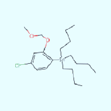 CCC[CH2][Sn]([CH2]CCC)([CH2]CCC)[c]1ccc(Cl)cc1OCOC